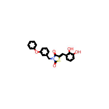 O=C1S/C(=C\c2cccc(O)c2O)C(=O)N1Cc1cccc(Oc2ccccc2)c1